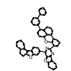 c1ccc(-c2cccc(-c3ccc4c5c(cccc35)-c3cccc(-c5nc(-c6ccc7c(c6)oc6ccc8ccccc8c67)c6oc7ccccc7c6n5)c3O4)c2)cc1